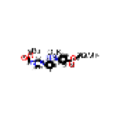 CCCCOC(=O)CN1CCN(c2cccc(Nc3ccc(C(=O)OCCOC)cc3[N+](=O)[O-])c2)CC1